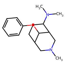 CN1CC2CCC(N(C)C)C(C1)C2Oc1ccccc1